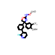 COc1ccc(C2(c3cccc(-c4cccnc4F)c3)COC(NOC=O)=N2)cc1C(F)(F)F